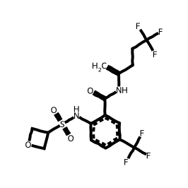 C=C(CCC(F)(F)F)NC(=O)c1cc(C(F)(F)F)ccc1NS(=O)(=O)C1COC1